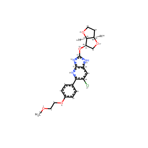 COCCOc1ccc(-c2nc3nc(O[C@@H]4CO[C@@H]5CCO[C@@H]54)[nH]c3cc2Cl)cc1